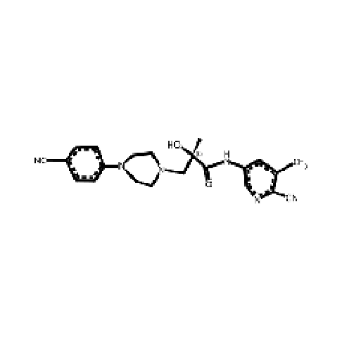 C[C@](O)(CN1CCN(c2ccc(C#N)cc2)CC1)C(=O)Nc1cnc(C#N)c(C(F)(F)F)c1